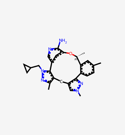 Cc1ccc2c(c1)[C@@H](C)Oc1cc(cnc1N)-c1c(c(C)nn1CC1CC1)Cc1cn(C)nc1-2